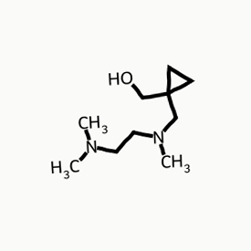 CN(C)CCN(C)CC1(CO)CC1